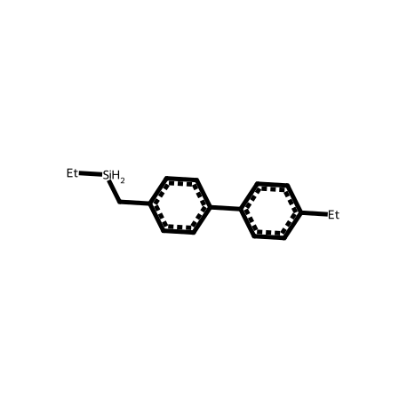 CC[SiH2]Cc1ccc(-c2ccc(CC)cc2)cc1